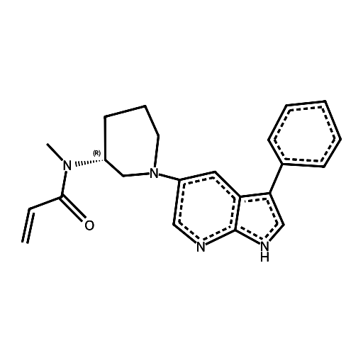 C=CC(=O)N(C)[C@@H]1CCCN(c2cnc3[nH]cc(-c4ccccc4)c3c2)C1